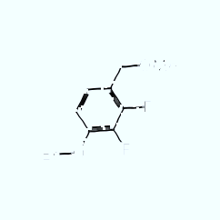 CCOc1ccc(COC)c(F)c1F